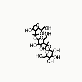 CC(C)(OC1OC(CO)C(O)C(O)C1O)C1C(CO)OC(OC(C)(C)C2C(O)COC2C(O)CO)C(O)C1O